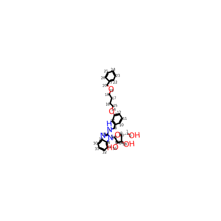 OC[C@H]1O[C@@H](n2c(NCc3cccc(OCCCCOCc4ccccc4)c3)nc3ccccc32)[C@H](O)[C@@H]1O